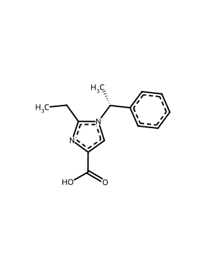 CCc1nc(C(=O)O)cn1[C@H](C)c1ccccc1